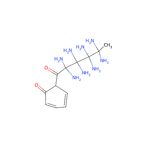 CC(N)(N)C(N)(N)C(N)(N)C(N)(N)C(=O)C1C=CC=CC1=O